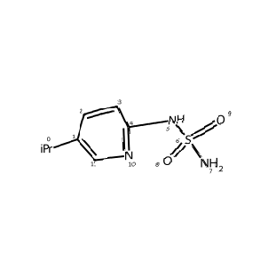 CC(C)c1ccc(NS(N)(=O)=O)nc1